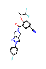 CC(Oc1ccc(C#N)cc1C(=O)N1Cc2cn(-c3ccc(F)cc3)nc2C1)C(F)F